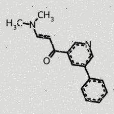 CN(C)/C=C/C(=O)c1cncc(-c2ccccc2)c1